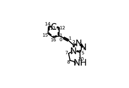 C(#Cc1nnc2n1CCNC2)c1ccccc1